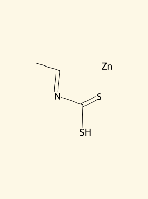 CC=NC(=S)S.[Zn]